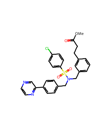 COC(=O)CCc1cccc(CN(Cc2ccc(-c3cnccn3)cc2)S(=O)(=O)c2ccc(Cl)cc2)c1